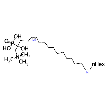 CCCCCC/C=C\CCCCCCCCCC/C=C\CCC(O)(C[N+](C)(C)C)P(=O)(O)O